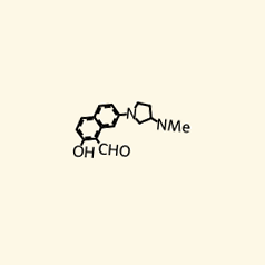 CNC1CCN(c2ccc3ccc(O)c(C=O)c3c2)C1